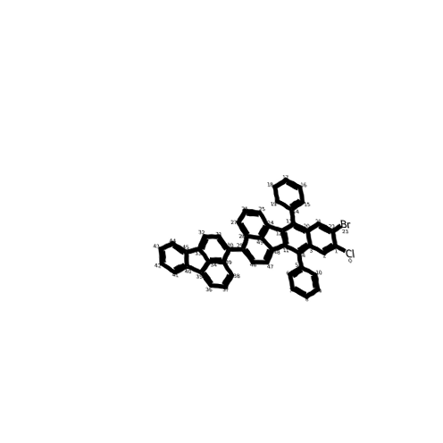 Clc1cc2c(-c3ccccc3)c3c(c(C4=CC=CCC4)c2cc1Br)-c1cccc2c(-c4ccc5c6c(cccc46)-c4ccccc4-5)ccc-3c12